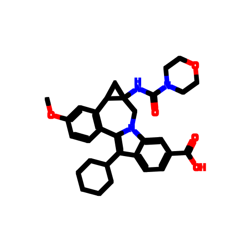 COc1ccc2c(c1)C1CC1(NC(=O)N1CCOCC1)Cn1c-2c(C2CCCCC2)c2ccc(C(=O)O)cc21